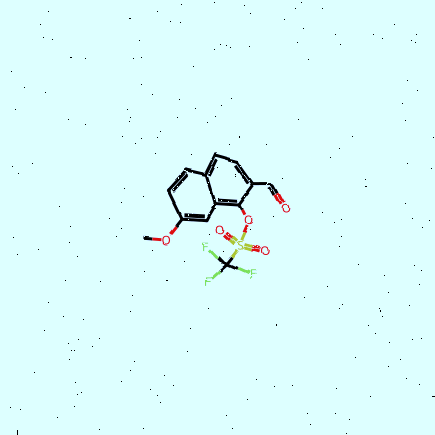 COc1ccc2ccc(C=O)c(OS(=O)(=O)C(F)(F)F)c2c1